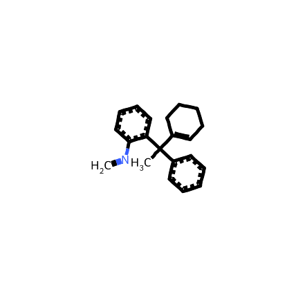 C=Nc1ccccc1C(C)(C1=CCCCC1)c1ccccc1